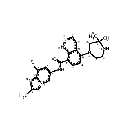 Cc1cn2cc(NC(=O)c3ccc(N4CCNC(C)(C)C4)c4ccnnc34)cc(F)c2n1